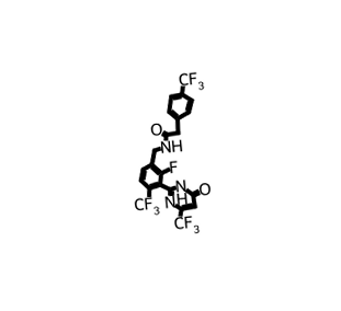 O=C(Cc1ccc(C(F)(F)F)cc1)NCc1ccc(C(F)(F)F)c(-c2nc(C(F)(F)F)cc(=O)[nH]2)c1F